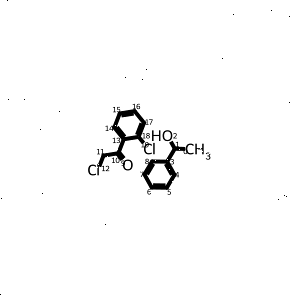 CC(O)c1ccccc1.O=C(CCl)c1ccccc1Cl